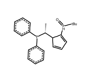 C[C@H](C1C=CC=C1[PH](=O)C(C)(C)C)P(c1ccccc1)c1ccccc1